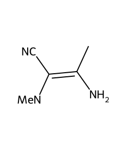 CN/C(C#N)=C(/C)N